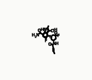 CC#CC(=O)N[C@@H]1CN(c2c(F)cc(C(N)=O)c3[nH]c(C)c(Cl)c23)CC(O)(F)C1